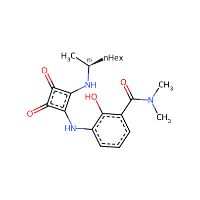 CCCCCC[C@H](C)Nc1c(Nc2cccc(C(=O)N(C)C)c2O)c(=O)c1=O